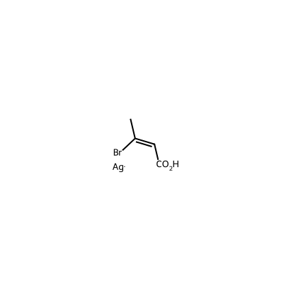 C/C(Br)=C/C(=O)O.[Ag]